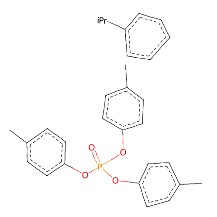 CC(C)c1ccccc1.Cc1ccc(OP(=O)(Oc2ccc(C)cc2)Oc2ccc(C)cc2)cc1